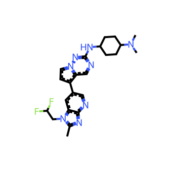 Cc1nc2ncc(-c3ccn4nc(NC5CCC(N(C)C)CC5)ncc34)cc2n1CC(F)F